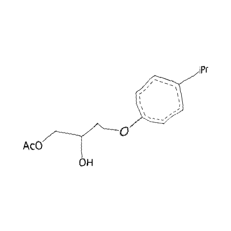 CC(=O)OCC(O)COc1ccc(C(C)C)cc1